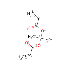 C=CC(=O)OC(C)(OC(=O)C=C)C(C)C